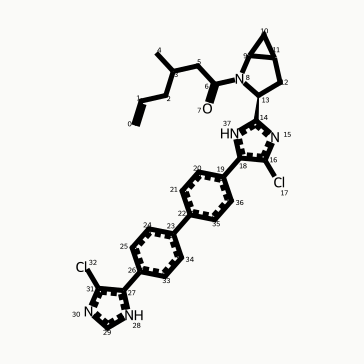 C=CCC(C)CC(=O)N1C2CC2C[C@H]1c1nc(Cl)c(-c2ccc(-c3ccc(-c4[nH]cnc4Cl)cc3)cc2)[nH]1